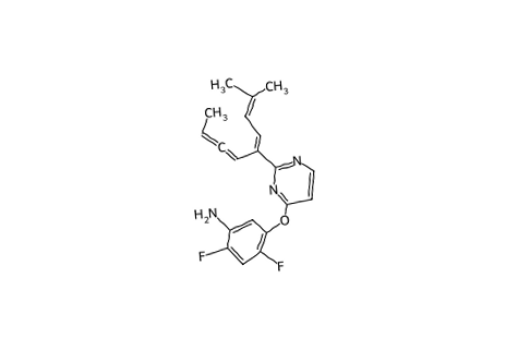 CC=C=C/C(=C\C=C(C)C)c1nccc(Oc2cc(N)c(F)cc2F)n1